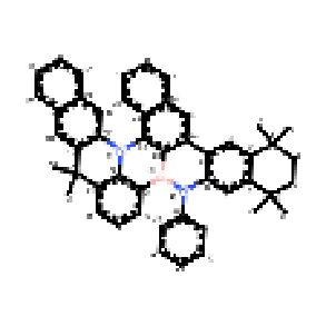 CC1(C)CCC(C)(C)c2cc3c(cc21)-c1cc2ccccc2c2c1B(c1cccc4c1N2c1cc2ccccc2cc1C4(C)C)N3c1ccccc1